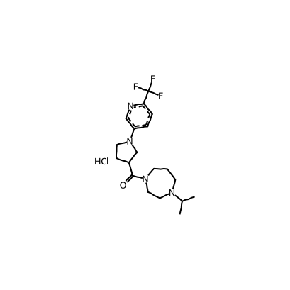 CC(C)N1CCCN(C(=O)C2CCN(c3ccc(C(F)(F)F)nc3)C2)CC1.Cl